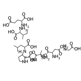 CC(C)CC(N)C(=O)O.CC(N)C(=O)O.CCC(C)C(N)C(=O)O.NC(CC(=O)O)C(=O)O.NC(CCC(=O)O)C(=O)O.NCC(=O)O.O=C(O)[C@@H]1CCCN1